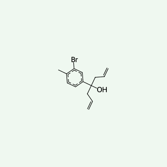 C=CCC(O)(CC=C)c1ccc(C)c(Br)c1